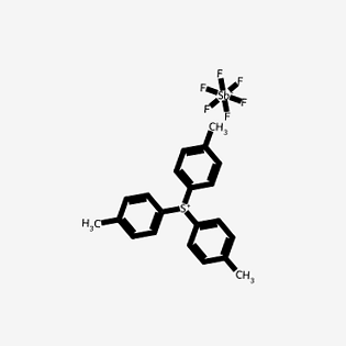 Cc1ccc([S+](c2ccc(C)cc2)c2ccc(C)cc2)cc1.[F][Sb-]([F])([F])([F])([F])[F]